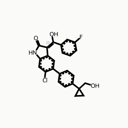 O=C1Nc2cc(Cl)c(-c3ccc(C4(CO)CC4)cc3)cc2/C1=C(/O)c1cccc(F)c1